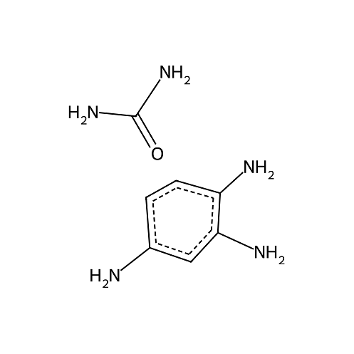 NC(N)=O.Nc1ccc(N)c(N)c1